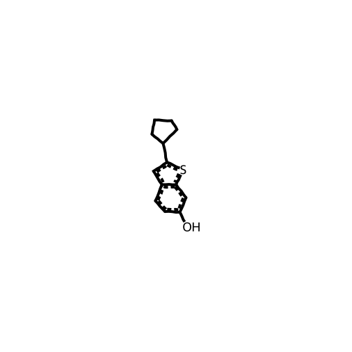 Oc1ccc2cc(C3CCCC3)sc2c1